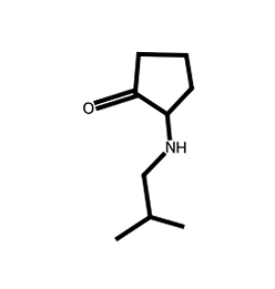 CC(C)CNC1CCCC1=O